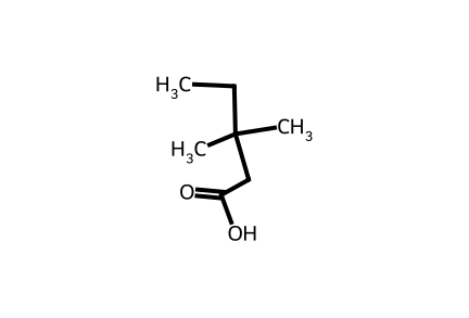 CCC(C)(C)CC(=O)O